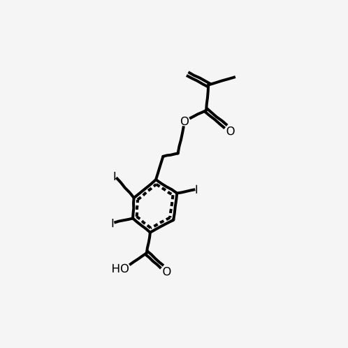 C=C(C)C(=O)OCCc1c(I)cc(C(=O)O)c(I)c1I